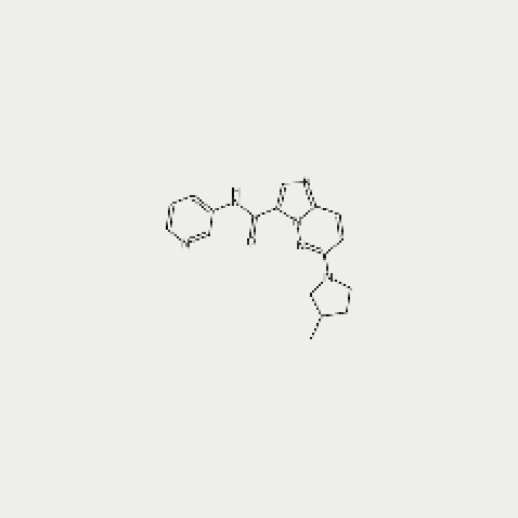 CC1CCN(c2ccc3ncc(C(=O)Nc4cccnc4)n3n2)C1